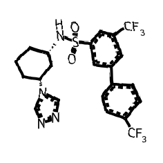 O=S(=O)(N[C@H]1CCC[C@@H](n2cnnc2)C1)c1cc(-c2ccc(C(F)(F)F)cc2)cc(C(F)(F)F)c1